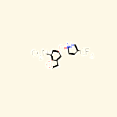 O=[N+]([O-])c1cc(Oc2ccc(C(F)(F)F)cn2)cc2ccoc12